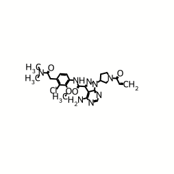 C=CC(=O)N1CCC(n2nc(C(=O)Nc3ccc(CC(=O)N(C)C)c(Cl)c3OC)c3c(N)ncnc32)C1